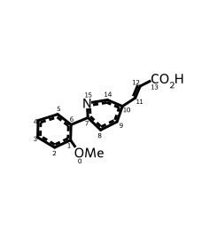 COc1ccccc1-c1ccc(/C=C/C(=O)O)cn1